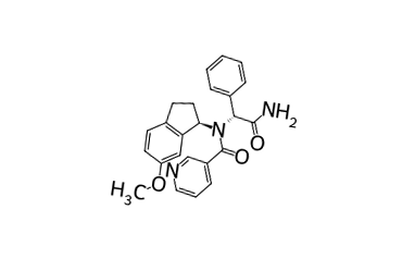 COc1ccc2c(c1)[C@H](N(C(=O)c1cccnc1)[C@@H](C(N)=O)c1ccccc1)CC2